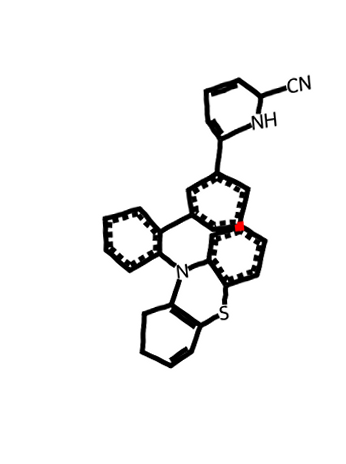 N#CC1C=CC=C(c2cccc(-c3ccccc3N3C4=C(C=CCC4)Sc4ccccc43)c2)N1